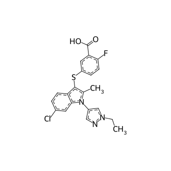 CCn1cc(-n2c(C)c(Sc3ccc(F)c(C(=O)O)c3)c3ccc(Cl)cc32)cn1